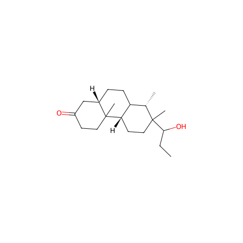 CCC(O)C1(C)CC[C@H]2C(CC[C@H]3CC(=O)CCC32C)[C@@H]1C